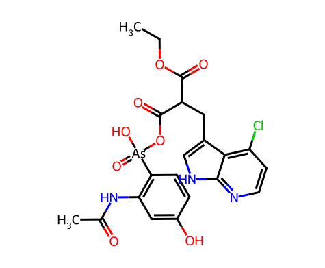 CCOC(=O)C(Cc1c[nH]c2nccc(Cl)c12)C(=O)O[As](=O)(O)c1ccc(O)cc1NC(C)=O